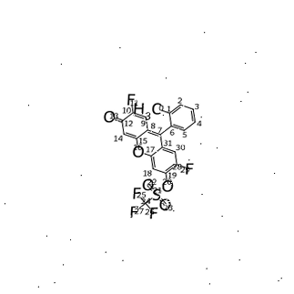 Cc1ccccc1-c1c2cc(F)c(=O)cc-2oc2cc(OS(=O)(=O)C(F)(F)F)c(F)cc12